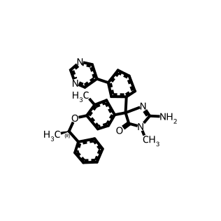 Cc1cc(C2(c3cccc(-c4cncnc4)c3)N=C(N)N(C)C2=O)ccc1O[C@H](C)c1ccccc1